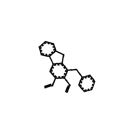 C=Cc1cc2c(c(Cc3ccccc3)c1C=C)Cc1ccccc1-2